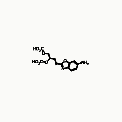 Nc1ccc2nc(SCC(COC(=O)O)OC(=O)O)oc2c1